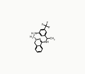 CC(NC1=NN(C)Cc2ccccc21)c1cc(N)cc(C(F)(F)F)c1